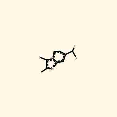 Cc1nc2cc(C(F)F)ccn2c1I